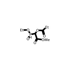 CCO[PH](=O)C(OC(=O)CC)C(=O)OC